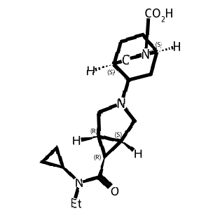 CCN(C(=O)[C@H]1[C@@H]2CN(C3C[C@@H]4CC[C@H]3CN4C(=O)O)C[C@@H]21)C1CC1